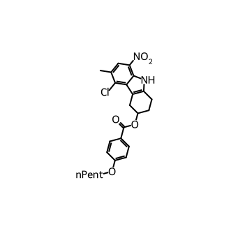 CCCCCOc1ccc(C(=O)OC2CCc3[nH]c4c([N+](=O)[O-])cc(C)c(Cl)c4c3C2)cc1